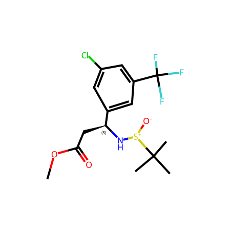 COC(=O)C[C@H](N[S+]([O-])C(C)(C)C)c1cc(Cl)cc(C(F)(F)F)c1